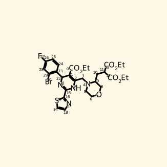 CCOC(=O)C1=C(CN2CCOCC2CC(C(=O)OCC)C(=O)OCC)NC(c2nccs2)=NC1c1ccc(F)cc1Br